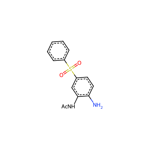 CC(=O)Nc1cc(S(=O)(=O)c2ccccc2)ccc1N